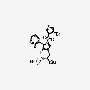 CC(C)(C)C(Cc1cn(S(=O)(=O)c2cscc2Br)c(-c2cccnc2F)c1F)NC(=O)O